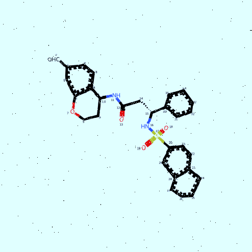 O=Cc1ccc2c(c1)OCCC2NC(=O)C[C@@H](NS(=O)(=O)c1ccc2ccccc2c1)c1ccccc1